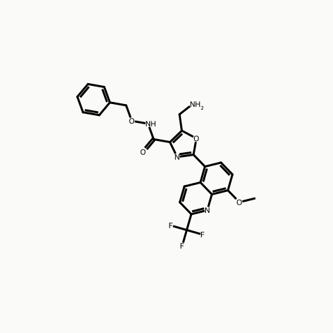 COc1ccc(-c2nc(C(=O)NOCc3ccccc3)c(CN)o2)c2ccc(C(F)(F)F)nc12